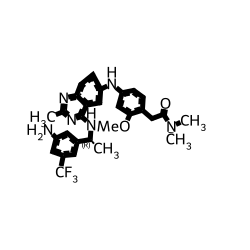 COc1cc(Nc2ccc3nc(C)nc(N[C@H](C)c4cc(N)cc(C(F)(F)F)c4)c3c2)ccc1CC(=O)N(C)C